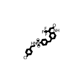 O=c1cc(C(F)(F)F)c2cc(Cc3ccc(S(=O)(=O)NCCc4ccc(Cl)cc4)cc3)ccc2[nH]1